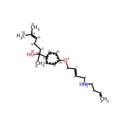 C=CCCNCC=CCOc1ccc(C(C)(O)CCC=C(C)C)cc1